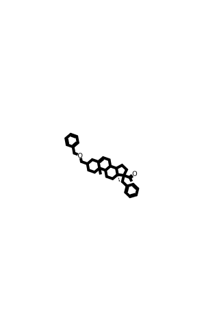 CC(=O)C1(Cc2ccccc2)CCC2C3CC=C4CC(COCc5ccccc5)CCC4(C)C3CC[C@@]21C